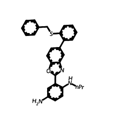 CCCNc1ccc(N)cc1-c1nc2cc(-c3ccccc3SCc3ccccc3)ccc2o1